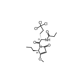 CCC[C@@H]1C(OC)=CC(=O)N1C(=O)[C@H](CCC(Cl)(Cl)Cl)NC(=O)CC